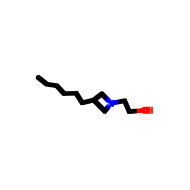 CCCCCCC1CN(CCO)C1